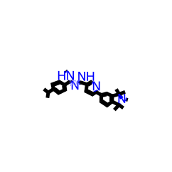 CN/C(=N\C(=N)c1ccc(-c2ccc3c(c2)C(C)(C)N(C)C3(C)C)nc1)c1ccc(C(C)C)cc1